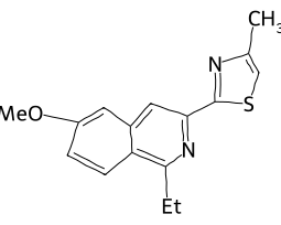 CCc1nc(-c2nc(C)cs2)cc2cc(OC)ccc12